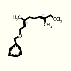 C/C(=C\COCc1ccccc1)CC/C=C(\C)CC(Cl)(Cl)Cl